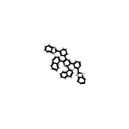 c1cc(-c2nc3ccccc3s2)cc(-c2cc(-c3cccc(-c4nc5ccccc5s4)c3)c(-c3cccc4ccccc34)nc2-c2cccc3ccccc23)c1